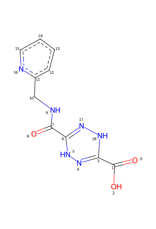 O=C(O)C1=NNC(C(=O)NCc2ccccn2)=NN1